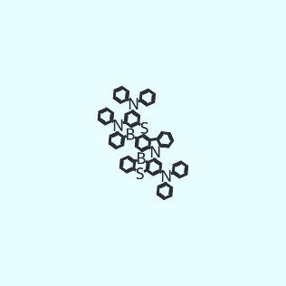 c1ccc(N(c2ccccc2)c2cc3c4c(c2)N(c2ccccc2)c2ccccc2B4c2cc4c5c(c2S3)c2ccccc2n5-c2cc(N(c3ccccc3)c3ccccc3)cc3c2B4c2ccccc2S3)cc1